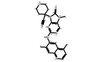 Cc1cc2nccc(C)c2cc1Nc1ncc2c(n1)n(C1(C#N)CCOCC1)c(=O)n2C